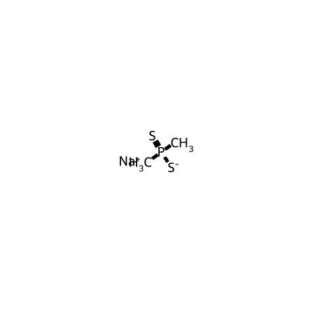 CP(C)(=S)[S-].[Na+]